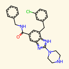 O=C(NCc1ccccc1)c1cc(Cc2cccc(Cl)c2)c2[nH]c(N3CCNCC3)nc2c1